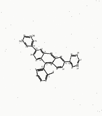 Cc1ccccc1-c1c2ccc(-c3cncnc3)cc2cc2cc(-c3cncnc3)ccc12